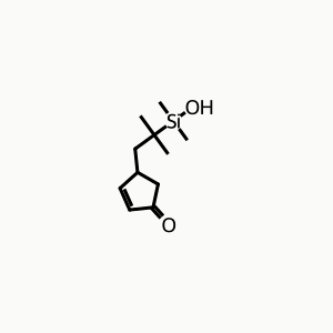 CC(C)(CC1C=CC(=O)C1)[Si](C)(C)O